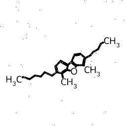 CCCCCCCc1ccc2c(oc3c(C)c(CCCCC)ccc32)c1C